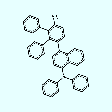 Nc1ccc(-c2ccc(N(c3ccccc3)c3ccccc3)c3ccccc23)c(-c2ccccc2)c1-c1ccccc1